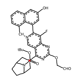 Cc1cccc2cc(O)cc(-c3ncc4c(N5CC6CCC(C5)N6C(=O)OC(C)(C)C)nc(OCC=O)nc4c3F)c12